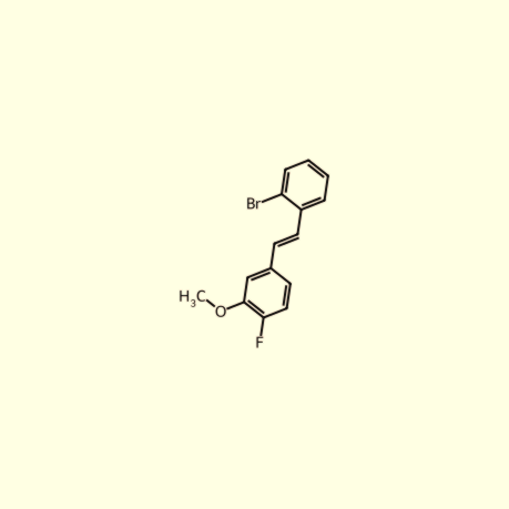 COc1cc(C=Cc2ccccc2Br)ccc1F